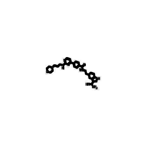 N=C(N)c1c[nH]c2ccc(CCNC(=O)c3ccc(-c4ccnc(NCCCN5CCOCC5)n4)cc3)cc12